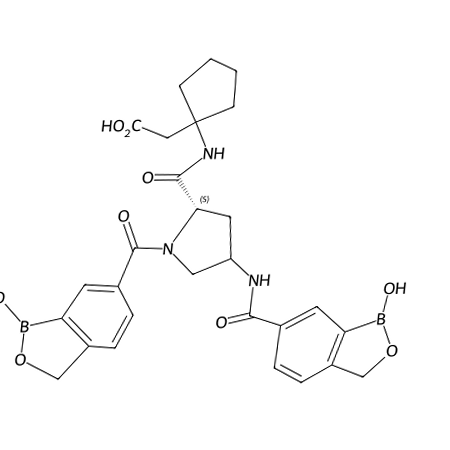 O=C(O)CC1(NC(=O)[C@@H]2CC(NC(=O)c3ccc4c(c3)B(O)OC4)CN2C(=O)c2ccc3c(c2)B(O)OC3)CCCC1